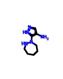 Nc1cn[nH]c1N1CCCCCN1